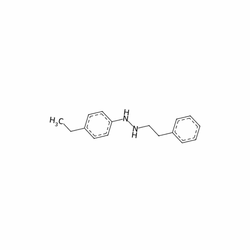 CCc1ccc(NNCCc2ccccc2)cc1